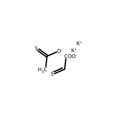 CC([O-])=S.O=C([O-])C=S.[K+].[K+]